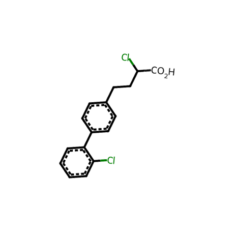 O=C(O)C(Cl)CCc1ccc(-c2ccccc2Cl)cc1